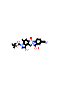 COc1cc(C)c2c(c(Br)cn2C(=O)OC(C)(C)C)c1Cn1nc2ccc(C#N)cc2c1O